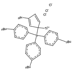 CCCCc1ccc([Si](c2ccc(CCCC)cc2)(c2ccc(CCCC)cc2)[C]2([Ti+3])C=CC(CCC)=C2)cc1.[Cl-].[Cl-].[Cl-]